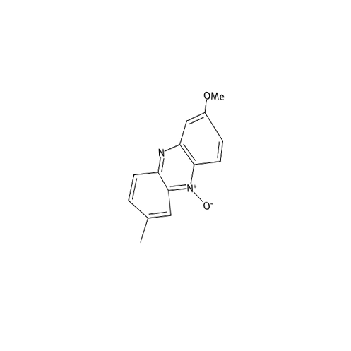 COc1ccc2c(c1)nc1ccc(C)cc1[n+]2[O-]